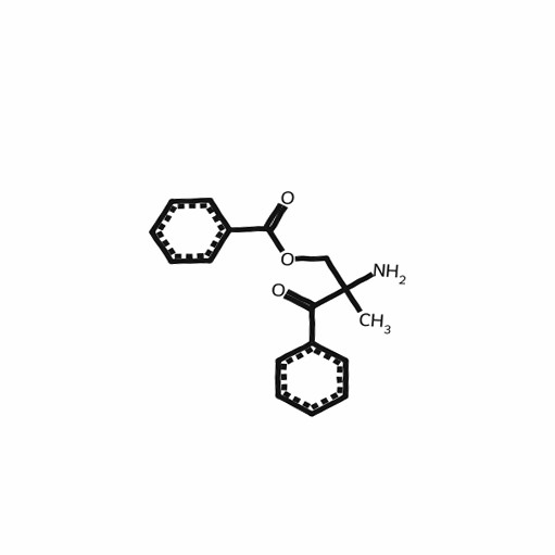 CC(N)(COC(=O)c1ccccc1)C(=O)c1ccccc1